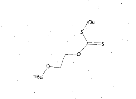 CCCCOCCOC(=S)SCCCC